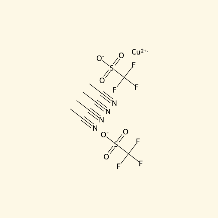 CC#N.CC#N.CC#N.CC#N.O=S(=O)([O-])C(F)(F)F.O=S(=O)([O-])C(F)(F)F.[Cu+2]